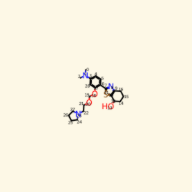 CN(C)c1ccc(-c2nc3c(s2)C(O)CCC3)c(OCOCCN2CCCC2)c1